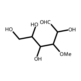 COC(C(O)C=O)C(O)C(O)CO